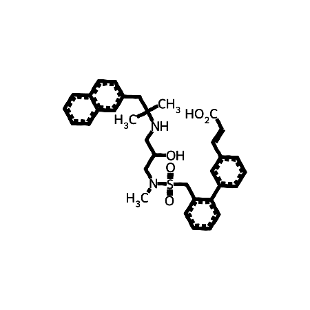 CN(CC(O)CNC(C)(C)Cc1ccc2ccccc2c1)S(=O)(=O)Cc1ccccc1-c1cccc(C=CC(=O)O)c1